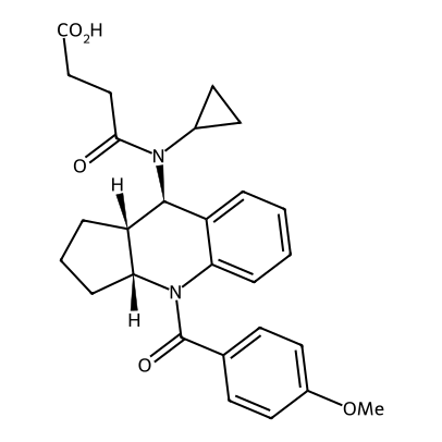 COc1ccc(C(=O)N2c3ccccc3[C@H](N(C(=O)CCC(=O)O)C3CC3)[C@H]3CCC[C@H]32)cc1